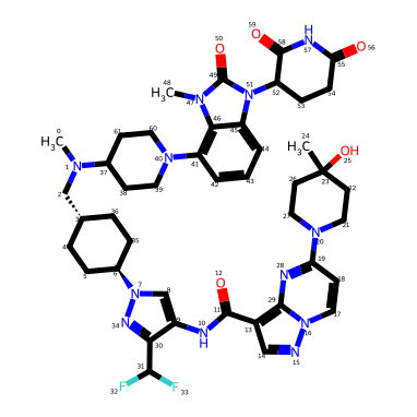 CN(C[C@H]1CC[C@H](n2cc(NC(=O)c3cnn4ccc(N5CCC(C)(O)CC5)nc34)c(C(F)F)n2)CC1)C1CCN(c2cccc3c2n(C)c(=O)n3C2CCC(=O)NC2=O)CC1